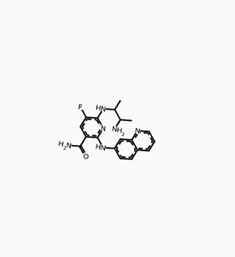 CC(N)C(C)Nc1nc(Nc2ccc3cccnc3c2)c(C(N)=O)cc1F